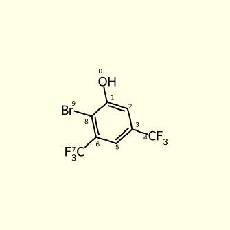 Oc1cc(C(F)(F)F)cc(C(F)(F)F)c1Br